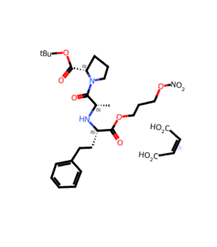 C[C@H](N[C@@H](CCc1ccccc1)C(=O)OCCCO[N+](=O)[O-])C(=O)N1CCC[C@H]1C(=O)OC(C)(C)C.O=C(O)/C=C\C(=O)O